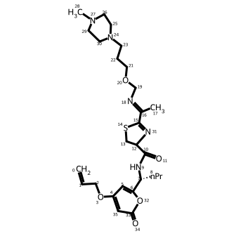 C=CCOc1cc([C@@H](CCC)NC(=O)C2CSC(/C(C)=N/COCCCN3CCN(C)CC3)=N2)oc(=O)c1